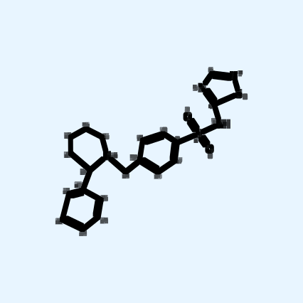 O=S(=O)(Nc1ncns1)c1ccc(CN2CCCCC2c2ccccc2)cc1